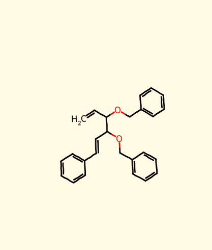 C=CC(OCc1ccccc1)C(C=Cc1ccccc1)OCc1ccccc1